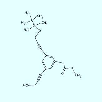 COC(=O)Cc1cc(C#CCO)cc(C#CCO[Si](C)(C)C(C)(C)C)c1